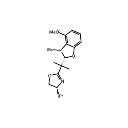 COc1cccc2c1P(C(C)(C)C)[C@@H](C(C)(C)C1=N[C@@H](C(C)C)CO1)O2